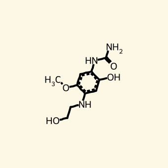 COc1cc(NC(N)=O)c(O)cc1NCCO